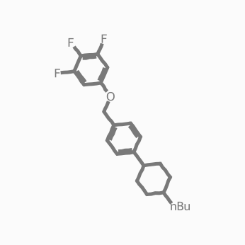 CCCCC1CCC(c2ccc(COc3cc(F)c(F)c(F)c3)cc2)CC1